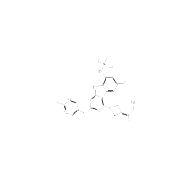 [2H]C([2H])([2H])Nc1cc(F)cc2c1[nH]c1nc(Oc3cnc(C)nc3)nc(N3CC(=C(C)[C@@H](C)N)C3)c12